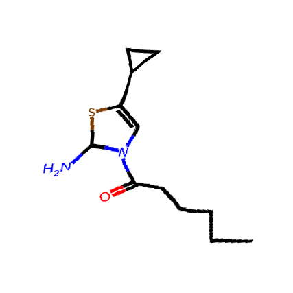 CCCCCC(=O)N1C=C(C2CC2)SC1N